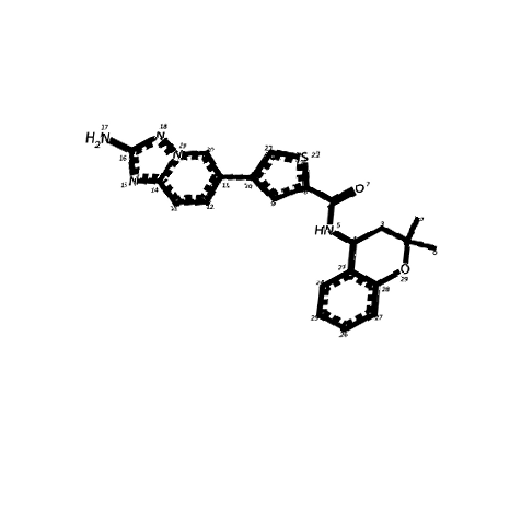 CC1(C)CC(NC(=O)c2cc(-c3ccc4nc(N)nn4c3)cs2)c2ccccc2O1